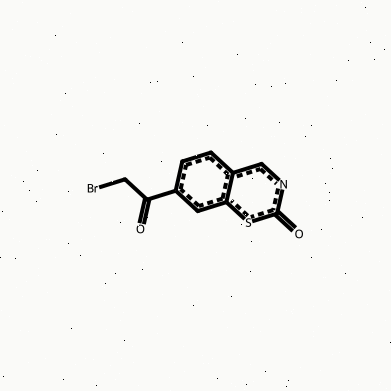 O=C(CBr)c1ccc2cnc(=O)sc2c1